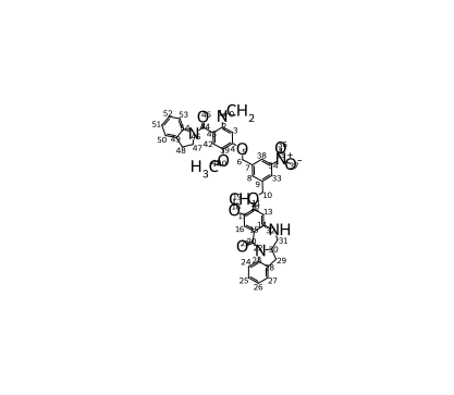 C=Nc1cc(OCc2cc(COc3cc4c(cc3OC)C(=O)N3c5ccccc5CC3CN4)cc([N+](=O)[O-])c2)c(OC)cc1C(=O)N1CCc2ccccc21